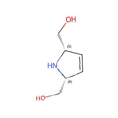 OC[C@H]1C=C[C@@H](CO)N1